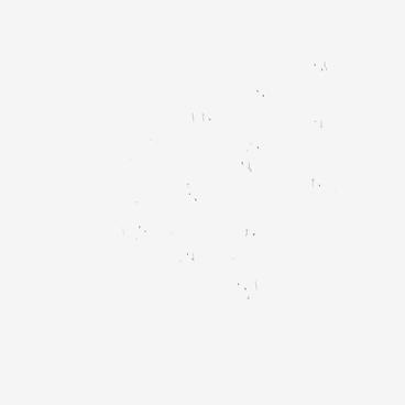 Nc1nc(N)nc(N)n1.Nc1nc(N)nc(N)n1.O=CC=O